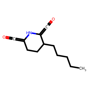 CCCCCC1CCC(=C=O)NC1=C=O